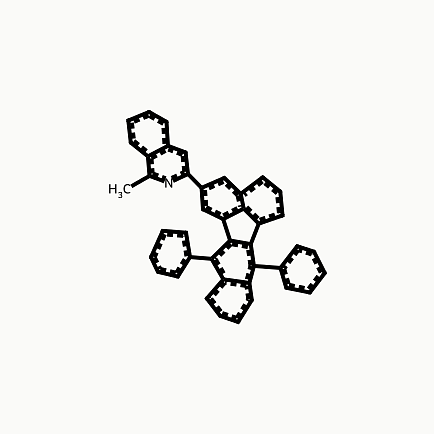 Cc1nc(-c2cc3c4c(cccc4c2)-c2c-3c(-c3ccccc3)c3ccccc3c2-c2ccccc2)cc2ccccc12